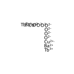 [Ba+2].[Ba+2].[Cu+2].[Cu+2].[O-2].[O-2].[O-2].[O-2].[O-2].[O-2].[O-2].[Tb+3].[Tb+3]